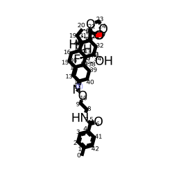 Cc1ccc(C(=O)NCCO/N=C2/C=C3CC[C@H]4[C@@H]5CC[C@@]6(OCOC67COCO7)[C@@]5(C)C[C@H](O)[C@]4(F)[C@@]3(C)CC2)cc1